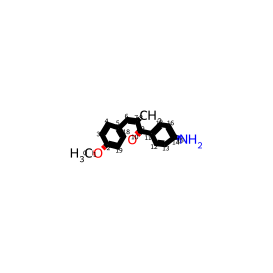 COc1ccc(C=C(C)C(=O)c2ccc(N)cc2)cc1